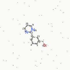 BrCc1cccc(-c2ncccn2)c1